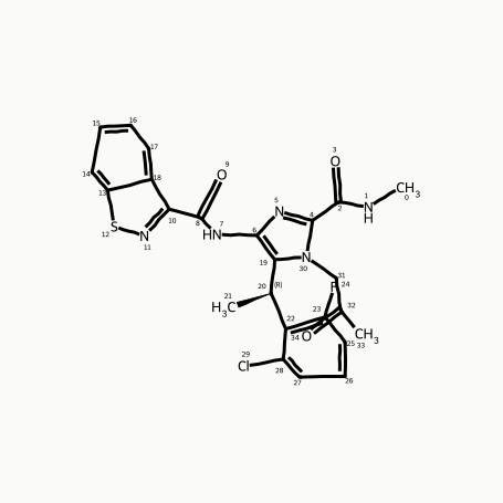 CNC(=O)c1nc(NC(=O)c2nsc3ccccc23)c([C@H](C)c2c(F)cccc2Cl)n1CC(C)=O